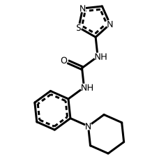 O=C(Nc1ncns1)Nc1ccccc1N1CCCCC1